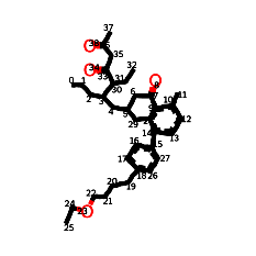 CCCC(CC1CC(=O)c2c(C)ccc(-c3ccc(CCCCOCC)cc3)c2C1)C(CC)C(=O)CC(C)=O